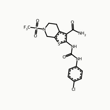 NC(=O)c1c(NC(=O)Nc2ccc(Cl)cc2)sc2c1CCN(S(=O)(=O)C(F)(F)F)C2